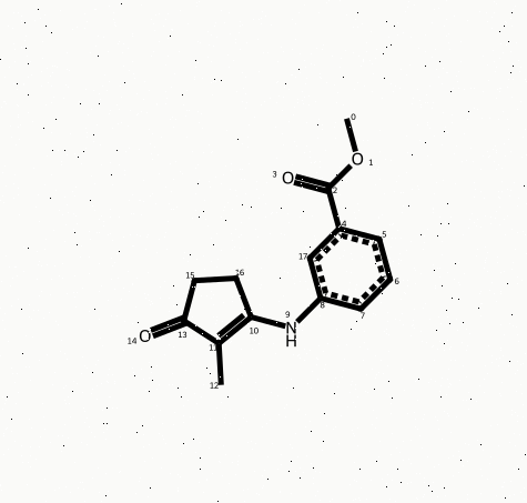 COC(=O)c1cccc(NC2=C(C)C(=O)CC2)c1